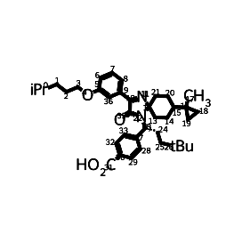 CC(C)CCCOc1cccc(C2=NC3(CCC(C4(C)CC4)CC3)N([C@H](CCC(C)(C)C)c3ccc(C(=O)O)cc3)C2=O)c1